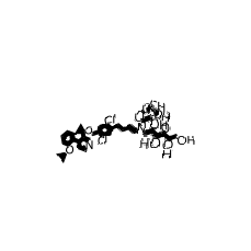 CS(=O)(=O)CC(=O)N(CCCCc1cc(Cl)c(COC2(c3cnccc3-c3ccccc3OC3CC3)CC2)cc1Cl)C[C@H](O)[C@@H](O)[C@H](O)[C@H](O)CO